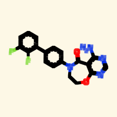 Nc1ncnc2c1C(=O)N(c1ccc(-c3cccc(F)c3F)cc1)CCO2